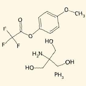 COc1ccc(OC(=O)C(F)(F)F)cc1.NC(CO)(CO)CO.P